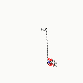 CCCCCCCCCCCCCCCCCCCCCCCCCCCCCCCCCCCCCCCC(CC)N(C(CC)CO)C(CC)CO